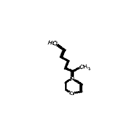 CC(CCCCO)N1CCOCC1